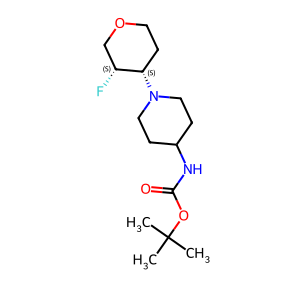 CC(C)(C)OC(=O)NC1CCN([C@H]2CCOC[C@H]2F)CC1